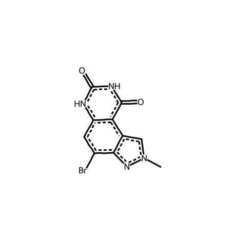 Cn1cc2c(n1)c(Br)cc1[nH]c(=O)[nH]c(=O)c12